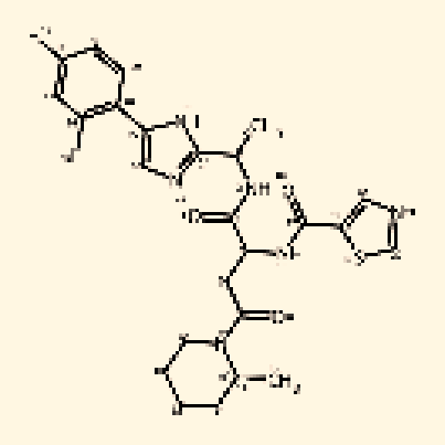 CC(NC(=O)C(CC(=O)N1CCCC[C@@H]1C)NC(=O)c1cncs1)c1ncc(-c2ccc(F)cc2F)[nH]1